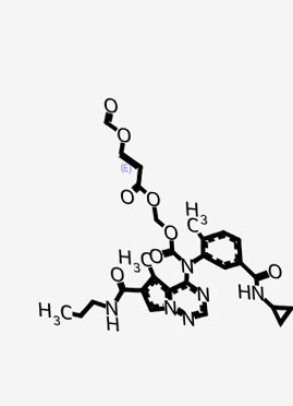 CCCNC(=O)c1cn2ncnc(N(C(=O)OCOC(=O)/C=C/OC=O)c3cc(C(=O)NC4CC4)ccc3C)c2c1C